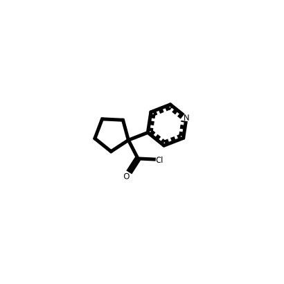 O=C(Cl)C1(c2ccncc2)CCCC1